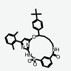 Cc1cccc(C)c1-c1cc2nc(n1)NS(=O)(=O)c1cccc(c1)C(=O)NCCCC(c1ccc(C(C)(C)C)cc1)O2